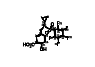 O=C(O)c1cc(CN(C2CC2)S(=O)(=O)c2c(F)c(F)c(F)c(F)c2F)ccc1O